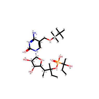 CCC(C)(OP(=O)(O)C(C)(O)CC)[C@@H](C)C1O[C@@H](n2cc(CO[Si](C)(C)C(C)(C)C)c(N)nc2=O)[C@H](O)[C@@H]1O